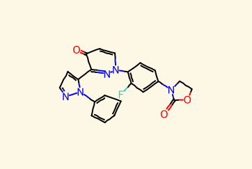 O=C1OCCN1c1ccc(-n2ccc(=O)c(-c3ccnn3-c3ccccc3)n2)c(F)c1